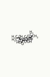 CCS(NC(=O)C(=O)C(C)C)(SCC(NC(=O)C(=O)C(C)C)C(=O)O)C(=O)O